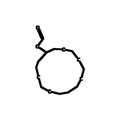 O=COC1CCCCCCCCCCCCCC1